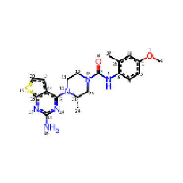 COc1ccc(NC(=O)N2CCN(c3nc(N)nc4sccc34)[C@@H](C)C2)c(C)c1